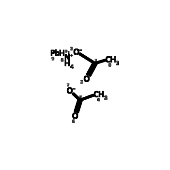 CC(=O)[O-].CC(=O)[O-].[NH4+].[PbH+]